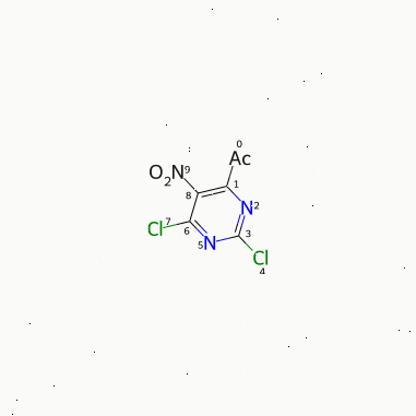 CC(=O)c1nc(Cl)nc(Cl)c1[N+](=O)[O-]